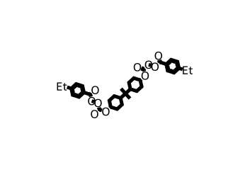 CCc1ccc(C(=O)OOC(=O)OC2CCC(C(C)(C)C3CCC(OC(=O)OOC(=O)c4ccc(CC)cc4)CC3)CC2)cc1